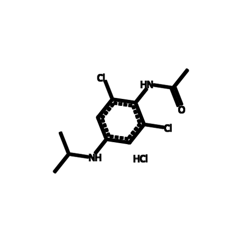 CC(=O)Nc1c(Cl)cc(NC(C)C)cc1Cl.Cl